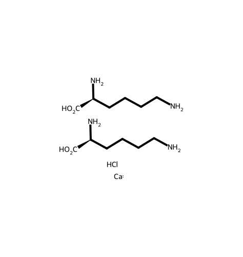 Cl.NCCCC[C@H](N)C(=O)O.NCCCC[C@H](N)C(=O)O.[Ca]